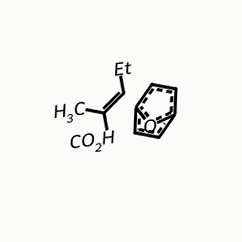 CCC=C(C)C(=O)O.c1cc2ccc1o2